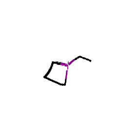 CCI1CCC1